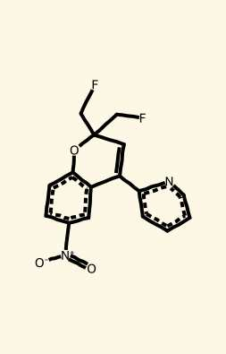 O=[N+]([O-])c1ccc2c(c1)C(c1ccccn1)=CC(CF)(CF)O2